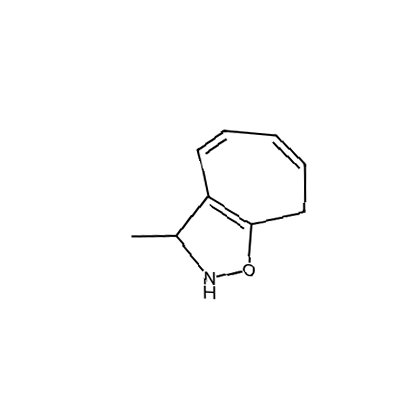 CC1NOC2=C1C=CC=CC2